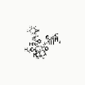 CCNC(=O)NCc1cc2c(ccc3cnn([C@@H](C)CNC(=O)OCc4ccccc4)c32)o1